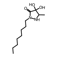 CCCCCCCCN1NC(C)C(O)(O)C1=O